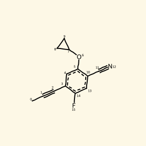 CC#Cc1cc(OC2CC2)c(C#N)cc1F